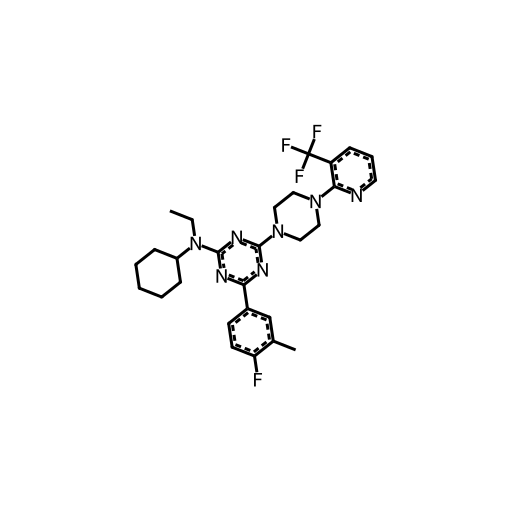 CCN(c1nc(-c2ccc(F)c(C)c2)nc(N2CCN(c3ncccc3C(F)(F)F)CC2)n1)C1CCCCC1